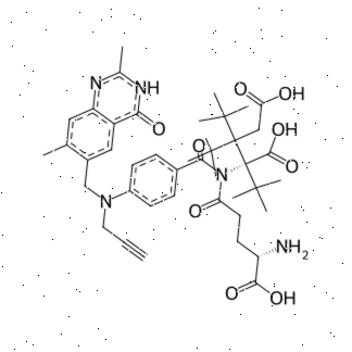 C#CCN(Cc1cc2c(=O)[nH]c(C)nc2cc1C)c1ccc(C(=O)N(C(=O)CC[C@H](N)C(=O)O)[C@](C(=O)O)(C(C)(C)C)C(CC(=O)O)(C(C)(C)C)C(C)(C)C)cc1